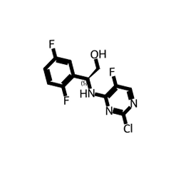 OC[C@@H](Nc1nc(Cl)ncc1F)c1cc(F)ccc1F